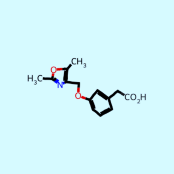 Cc1nc(COc2cccc(CC(=O)O)c2)c(C)o1